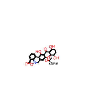 COC(=O)C[C@]12Oc3cc4c(c(O)c3C(=O)C1=C(O)CC[C@@H]2O)-c1cccc2c(=O)on(c12)C4